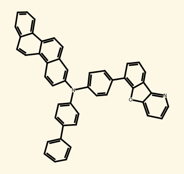 c1ccc(-c2ccc(N(c3ccc(-c4cccc5c4oc4cccnc45)cc3)c3ccc4c(ccc5c6ccccc6ccc45)c3)cc2)cc1